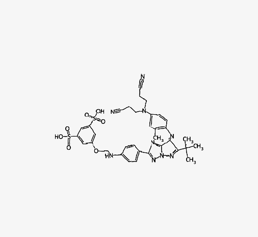 Cc1cc(N(CCC#N)CCC#N)ccc1/N=C1/C(C(C)(C)C)=Nn2nc(-c3ccc(NCOc4cc(S(=O)(=O)O)cc(S(=O)(=O)O)c4)cc3)nc21